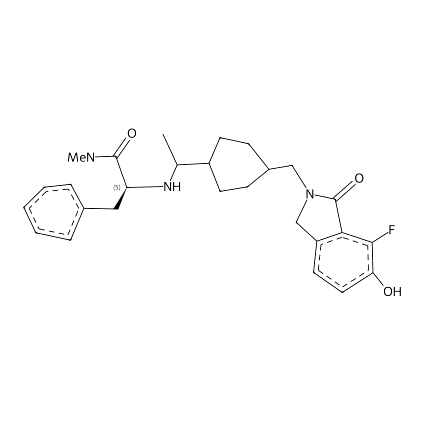 CNC(=O)[C@H](Cc1ccccc1)NC(C)C1CCC(CN2Cc3ccc(O)c(F)c3C2=O)CC1